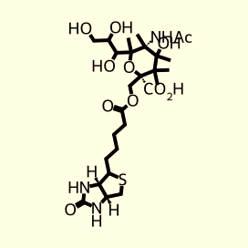 CC(=O)N[C@@]1(C)C(C)(C(O)C(O)CO)O[C@@](COC(=O)CCCCC2SC[C@@H]3NC(=O)N[C@H]23)(C(=O)O)C(C)(C)C1(C)O